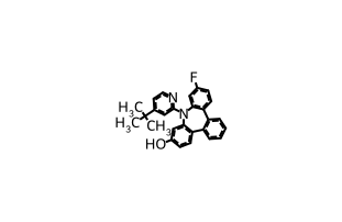 CC(C)(C)c1ccnc(N2c3cc(O)ccc3-c3ccccc3-c3ccc(F)cc32)c1